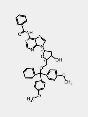 COc1ccc(C(OC[C@H]2O[C@@H](n3cnc4c(NC(=O)c5ccccc5)ncnc43)CC2O)(c2ccccc2)c2ccc(OC)cc2)cc1